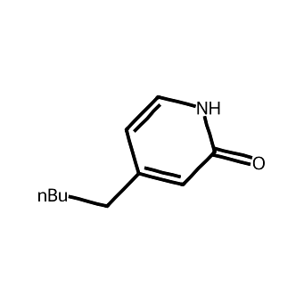 CCCCCc1cc[nH]c(=O)c1